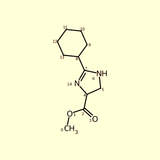 COC(=O)C1CNC(C2CCCCC2)=N1